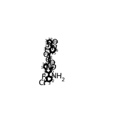 Nc1ccc(Cl)c(F)c1C1=CC(=O)N2C(CC[C@H]2C(=O)OCC(=O)c2ccnc(N3CCCC3=O)c2F)C1